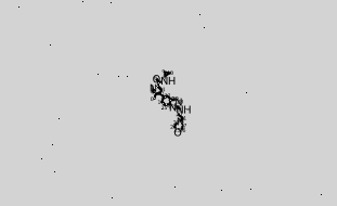 Cc1cnc(C(=O)NC2CC2)cc1-c1ccc2nc(NCCN3CCOCC3)ncc2c1